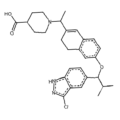 CC(C)C(Oc1ccc2c(c1)CCC(C(C)N1CCC(C(=O)O)CC1)=C2)c1ccc2[nH]nc(Cl)c2c1